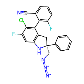 N#Cc1cccc(F)c1-c1c(Cl)c(F)cc2c1C[C@@](CN=[N+]=[N-])(c1ccccc1)N2